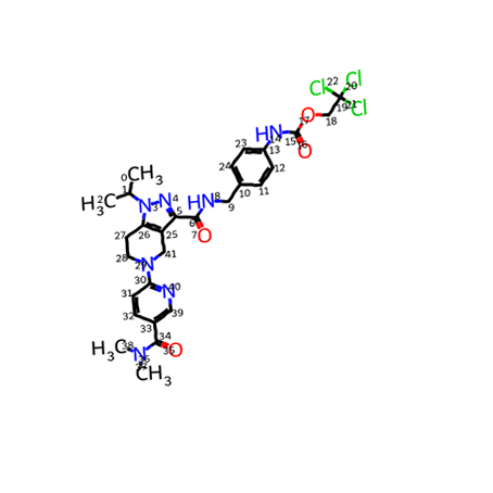 CC(C)n1nc(C(=O)NCc2ccc(NC(=O)OCC(Cl)(Cl)Cl)cc2)c2c1CCN(c1ccc(C(=O)N(C)C)cn1)C2